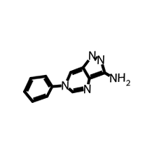 Nc1nnc2cn(-c3ccccc3)cnc1-2